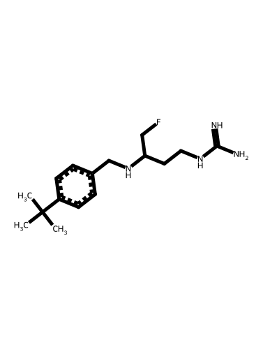 CC(C)(C)c1ccc(CNC(CF)CCNC(=N)N)cc1